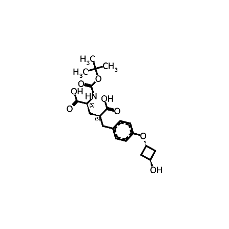 CC(C)(C)OC(=O)N[C@@H](C[C@H](Cc1ccc(O[C@H]2C[C@H](O)C2)cc1)C(=O)O)C(=O)O